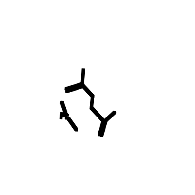 C=C(C)CCC(=C)C.[CH3][Pt][CH3]